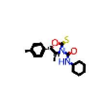 Cc1ccc([C@@H]2OC(=S)N(C(=O)NC3CCCCC3)[C@H]2C)cc1